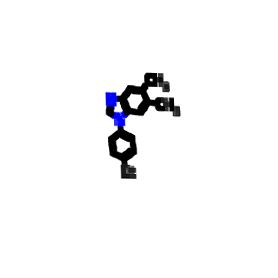 [CH2]Cc1ccc(-n2cnc3cc(C)c(C)cc32)cc1